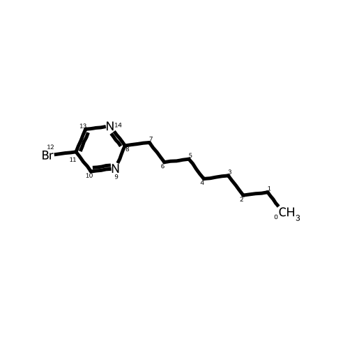 CCCCCCCCc1ncc(Br)cn1